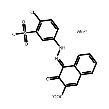 O=C([O-])C1=Cc2ccccc2/C(=N\Nc2ccc(Cl)c(S(=O)(=O)[O-])c2)C1=O.[Mn+2]